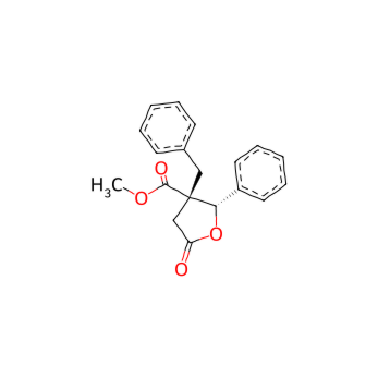 COC(=O)[C@@]1(Cc2ccccc2)CC(=O)O[C@H]1c1ccccc1